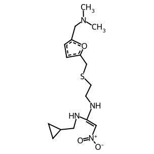 CN(C)Cc1ccc(CSCCNC(=C[N+](=O)[O-])NCC2CC2)o1